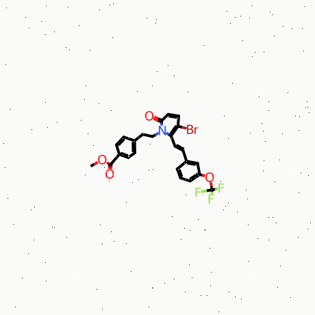 COC(=O)c1ccc(CCn2c(/C=C/c3cccc(OC(F)(F)F)c3)c(Br)ccc2=O)cc1